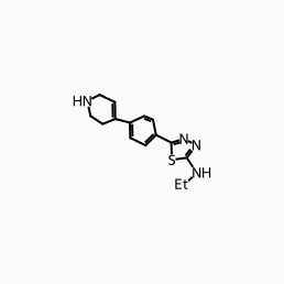 CCNc1nnc(-c2ccc(C3=CCNCC3)cc2)s1